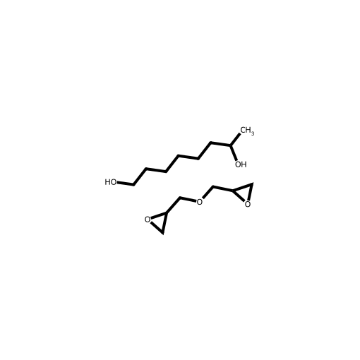 C(OCC1CO1)C1CO1.CC(O)CCCCCCO